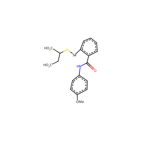 COc1ccc(NC(=O)c2ccccc2[Se]SC(CC(=O)O)C(=O)O)cc1